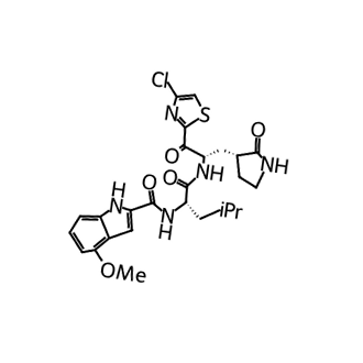 COc1cccc2[nH]c(C(=O)N[C@@H](CC(C)C)C(=O)N[C@@H](C[C@H]3CCNC3=O)C(=O)c3nc(Cl)cs3)cc12